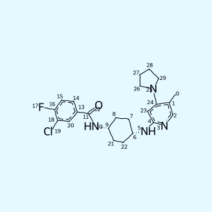 Cc1cnc(N[C@H]2CC[C@@H](NC(=O)c3ccc(F)c(Cl)c3)CC2)cc1N1CCCC1